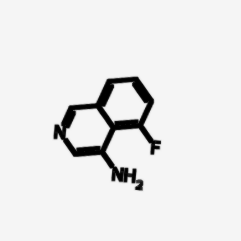 Nc1cncc2cccc(F)c12